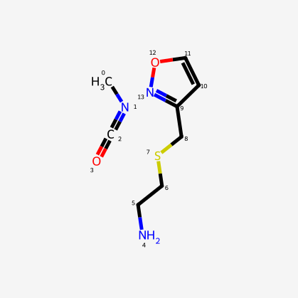 CN=C=O.NCCSCc1ccon1